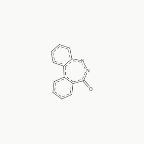 O=c1nnc2ccccc2c2ccccc12